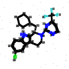 FC(F)(F)c1ccnc(N2CCc3c([nH]c4ccc(Cl)cc34)[C@@H]2CC2CCCCC2)n1